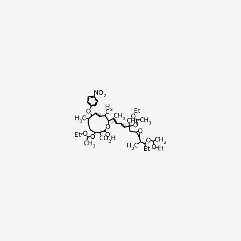 CCOC(C)OC1CCC(C)C(Oc2ccc([N+](=O)[O-])cc2)/C=C/C(C)C(/C(C)=C/C=C/C(C)(CC2OC2C(C)C(CC)OC(C)OCC)OC(C)OCC)OC(=O)C1C(=O)O